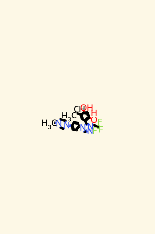 CC(C)c1cc(C2N(CC(F)(F)F)N=CN2c2ccc(N3CCN(C)CC3)cc2)c(O)cc1O